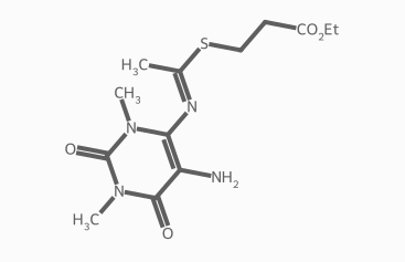 CCOC(=O)CCS/C(C)=N/c1c(N)c(=O)n(C)c(=O)n1C